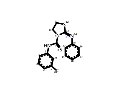 Fc1cccc(NC(=S)N2CCS/C2=N/c2ccccc2)c1